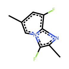 Cc1cc(F)c2nc(C)c(F)n2c1